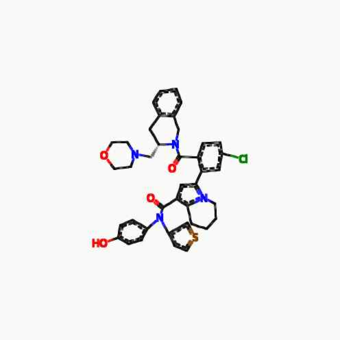 O=C(c1cc(-c2cc(Cl)ccc2C(=O)N2Cc3ccccc3C[C@H]2CN2CCOCC2)n2c1CCCC2)N(c1ccc(O)cc1)c1ccsc1